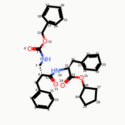 O=C(NC[C@@H](Cc1ccccc1)C(=O)N[C@@H](Cc1ccccc1)C(=O)OC1CCCC1)OCc1ccccc1